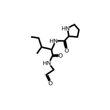 CCC(C)C(NC(=O)C1CCCN1)C(=O)NC[C]=O